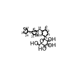 Cc1ccc(C2OC(CO)C(O)C(O)C2O)cc1Cc1ncc(-c2ccsc2)s1